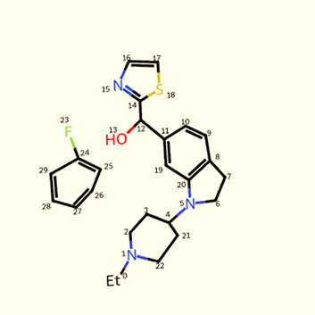 CCN1CCC(N2CCc3ccc(C(O)c4nccs4)cc32)CC1.Fc1ccccc1